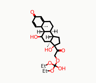 CCOC(O)(OCC)OCC(=O)[C@@]1(O)CC[C@H]2[C@@H]3CCC4=CC(=O)C=C[C@]4(C)[C@H]3C(O)C[C@@]21C